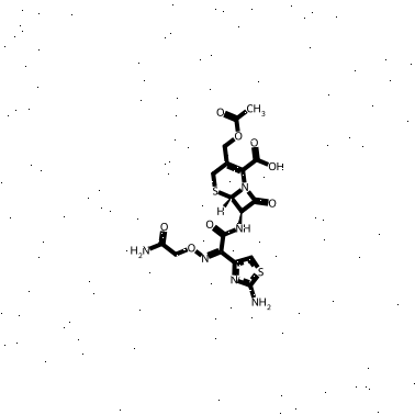 CC(=O)OCC1=C(C(=O)O)N2C(=O)[C@@H](NC(=O)/C(=N\OCC(N)=O)c3csc(N)n3)[C@@H]2SC1